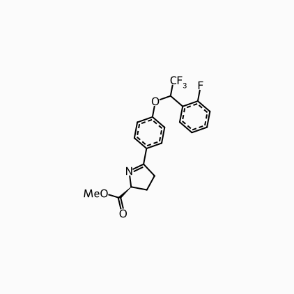 COC(=O)[C@@H]1CCC(c2ccc(OC(c3ccccc3F)C(F)(F)F)cc2)=N1